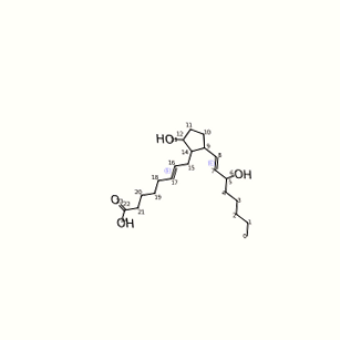 CCCCCC(O)/C=C/C1CCC(O)C1C/C=C/CCCCC(=O)O